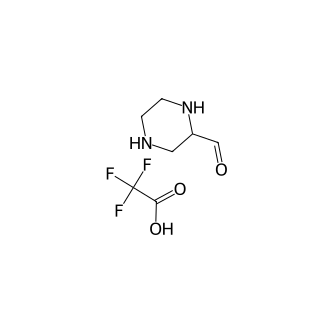 O=C(O)C(F)(F)F.O=CC1CNCCN1